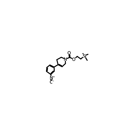 [C-]#[N+]c1cccc(C2=CCN(C(=O)OCC[Si](C)(C)C)CC2)c1